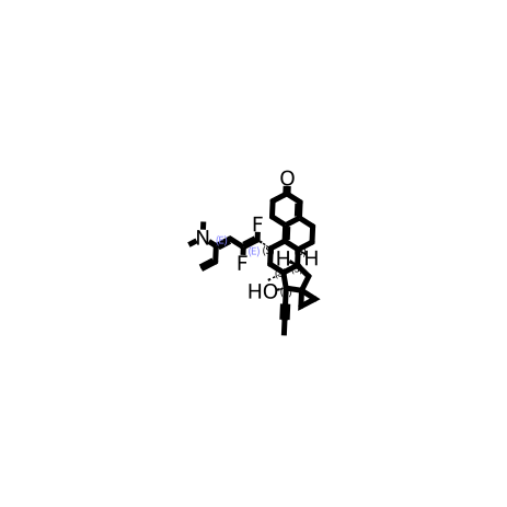 C=C/C(=C\C(F)=C(/F)[C@H]1C[C@@]2(C)[C@@H](CC3(CC3)[C@@]2(O)C#CC)[C@@H]2CCC3=CC(=O)CCC3=C21)N(C)C